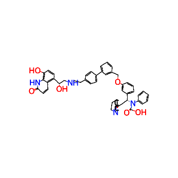 O=C(O)N(c1ccccc1)[C@@H](c1cccc(OCc2cccc(-c3ccc(CCNC[C@H](O)c4ccc(O)c5[nH]c(=O)ccc45)cc3)c2)c1)C1CN2CCC1CC2